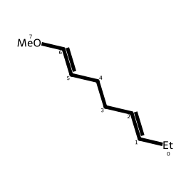 CCC=CCCC=COC